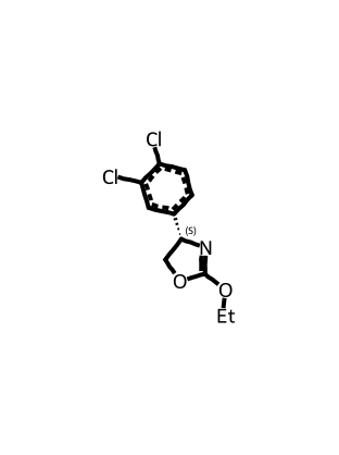 CCOC1=N[C@@H](c2ccc(Cl)c(Cl)c2)CO1